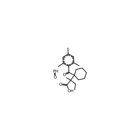 CCC(C)(C(=O)O)C1(C(=O)c2c(C)cc(C)cc2C)CCCCC1.O=P